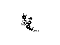 COC(=O)CC(C)(C)c1ccc(OC)c(-c2ccc(N3CCC3)nc2CN2C(=O)O[C@H](c3cc(F)c(F)c(F)c3)[C@@H]2C)c1